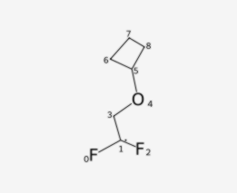 F[C](F)COC1CCC1